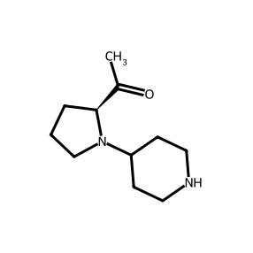 CC(=O)[C@@H]1CCCN1C1CCNCC1